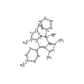 CC1=CC(C)=[N+]2C1=C(c1ccc(C)cc1)c1c(C)cc(C)n1[B-]2(O)c1ccccc1